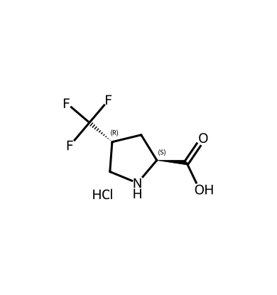 Cl.O=C(O)[C@@H]1C[C@@H](C(F)(F)F)CN1